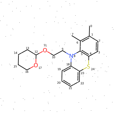 Cc1ccc2c(c1C)N(CCOC1CCCCO1)c1ccccc1S2